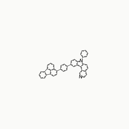 c1ccc(-n2c3ccc(-c4ccc(-c5ccc6c7c(cccc57)-c5ccccc5-6)cc4)cc3c3c4cnccc4ccc32)cc1